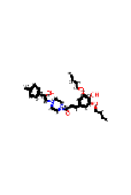 CCCCOc1cc(C=CC(=O)N2CCN(CC(O)c3ccc(C)cc3)CC2)cc(OCCCC)c1O